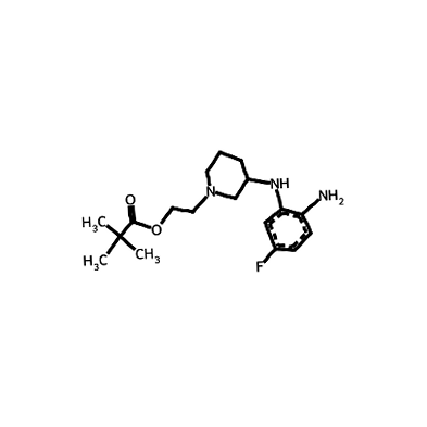 CC(C)(C)C(=O)OCCN1CCCC(Nc2cc(F)ccc2N)C1